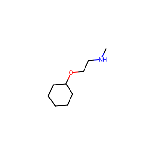 CNCCOC1CCCCC1